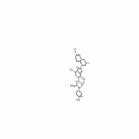 COc1ccc(N(C[C@@H]2COc3c(cc(Cl)c4oc(-c5cc(C)cc6nc(OC)cnc56)cc34)O2)C(=O)O)cn1